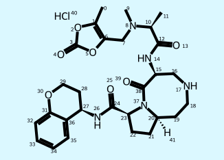 Cc1oc(=O)oc1CN(C)[C@@H](C)C(=O)N[C@H]1CNCC[C@H]2CC[C@@H](C(=O)N[C@@H]3CCOc4ccccc43)N2C1=O.Cl